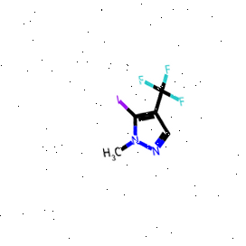 Cn1ncc(C(F)(F)F)c1I